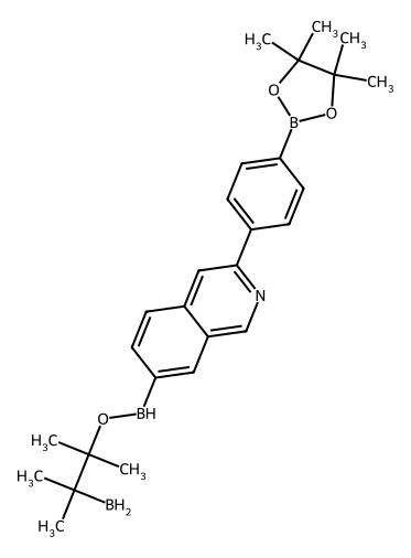 BC(C)(C)C(C)(C)OBc1ccc2cc(-c3ccc(B4OC(C)(C)C(C)(C)O4)cc3)ncc2c1